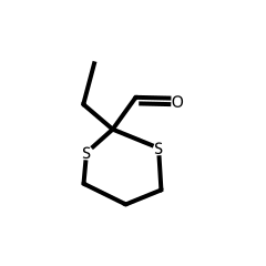 CCC1(C=O)SCCCS1